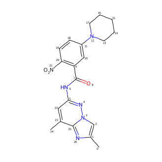 Cc1cn2nc(NC(=O)c3cc(N4CCCCC4)ccc3[N+](=O)[O-])cc(C)c2n1